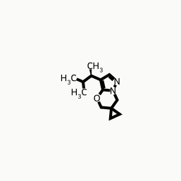 CC(C)[C@@H](C)c1cnn2c1OCC1(CC1)C2